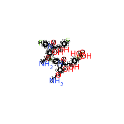 NCCCOc1ccc(C2C(CCC(O)c3ccc(F)cc3)C(=O)N2c2ccc(F)cc2)c(O)c1.NCCCOc1ccc(C2C(CCC(O)c3ccc(F)cc3)C(=O)N2c2ccc(F)cc2)c(O)c1.O=S(=O)(O)O